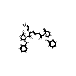 C=CC[C@@H](/C=C/CC(=O)N1C(=O)OC[C@@H]1Cc1ccccc1)C(=O)N1C(=O)OC[C@@H]1Cc1ccccc1